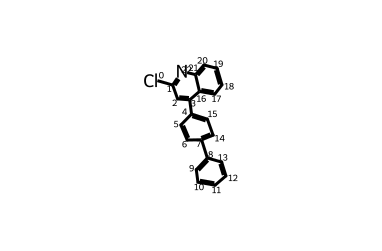 Clc1cc(-c2ccc(-c3ccccc3)cc2)c2ccccc2n1